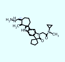 C=C1/C(=C\NN)CCCc2c1[nH]c1cc3c(cc21)N(CC(=O)N(C)C1CC1)C(=O)C31CCCC1